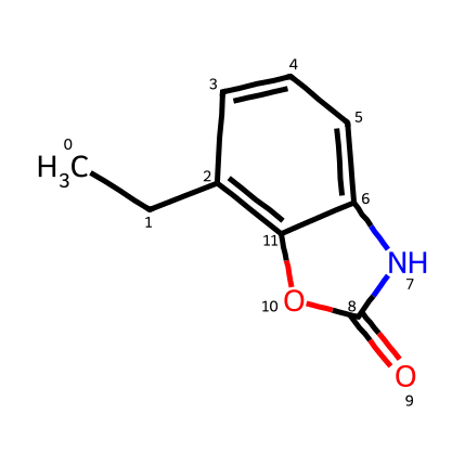 CCc1cccc2[nH]c(=O)oc12